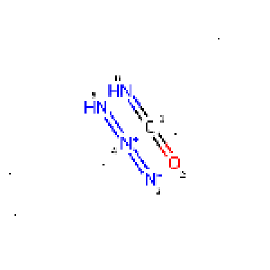 N=C=O.[N-]=[N+]=N